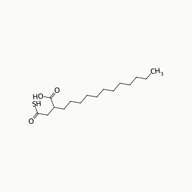 CCCCCCCCCCCCC(CC(=O)S)C(=O)O